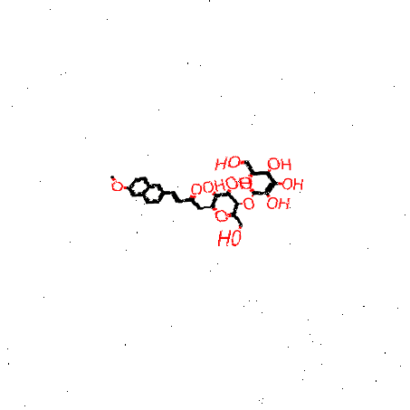 COc1ccc2cc(/C=C/C(=O)C[C@@H]3OC(CO)[C@@H](O[C@@H]4OC(CO)[C@H](O)C(O)=C4O)C(O)C3O)ccc2c1